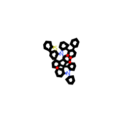 c1ccc(-c2ccccc2-c2ccccc2N(c2cccc3c2-c2ccccc2C32c3ccccc3N(c3ccccc3)c3ccccc32)c2cccc3c2sc2ccccc23)cc1